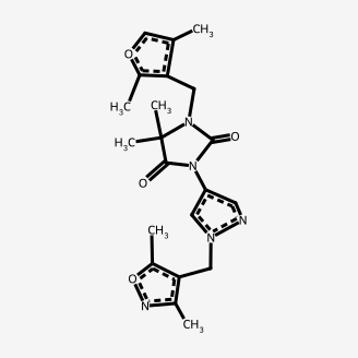 Cc1coc(C)c1CN1C(=O)N(c2cnn(Cc3c(C)noc3C)c2)C(=O)C1(C)C